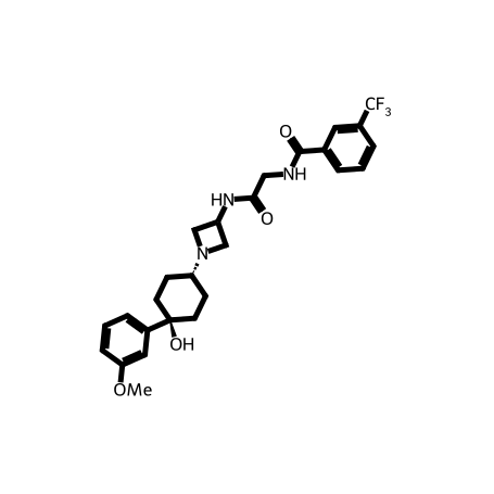 COc1cccc([C@]2(O)CC[C@H](N3CC(NC(=O)CNC(=O)c4cccc(C(F)(F)F)c4)C3)CC2)c1